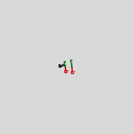 [O-]F.[O-]F.[Sr+2]